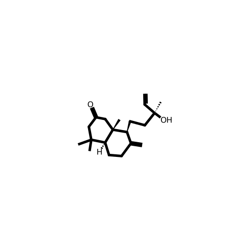 C=C[C@@](C)(O)CC[C@H]1C(=C)CC[C@H]2C(C)(C)CC(=O)C[C@]12C